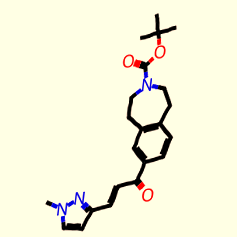 Cn1ccc(C=CC(=O)c2ccc3c(c2)CCN(C(=O)OC(C)(C)C)CC3)n1